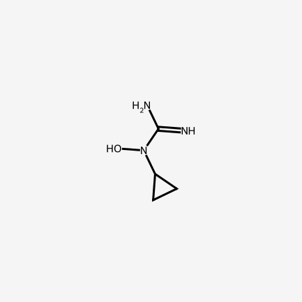 N=C(N)N(O)C1CC1